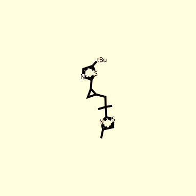 Cc1csc(C(C)(C)CC2CC2c2ncc(C(C)(C)C)s2)n1